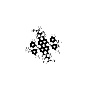 CCCN(C)C(=O)C(C(C)C)N1C(=O)c2cc(Oc3cc(C)cc(C)c3)c3c4c(Oc5cc(C)cc(C)c5)cc5c6c(cc(Oc7cc(C)cc(C)c7)c(c7c(Oc8cc(C)cc(C)c8)cc(c2c37)C1=O)c64)C(=O)N(C(C(=O)N(C)CCC)C(C)C)C5=O